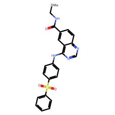 COCNC(=O)c1ccc2ncnc(Nc3ccc(S(=O)(=O)c4ccccc4)cc3)c2c1